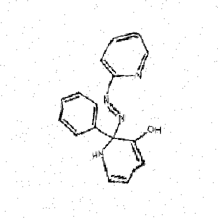 OC1=CC=CNC1(N=Nc1ccccn1)c1ccccc1